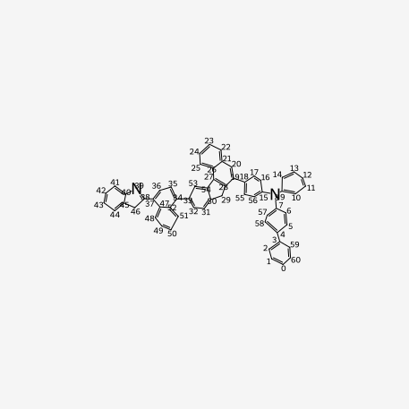 c1ccc(-c2ccc(N(c3ccccc3)c3ccc(-c4cc5ccccc5c5c4Cc4ccc(-c6ccc(C7=Nc8ccccc8C7)c7ccccc67)cc4-5)cc3)cc2)cc1